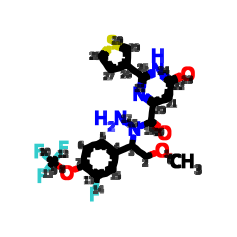 COCC(c1ccc(OC(F)(F)F)c(F)c1)N(N)C(=O)c1cc(=O)[nH]c(-c2ccsc2)n1